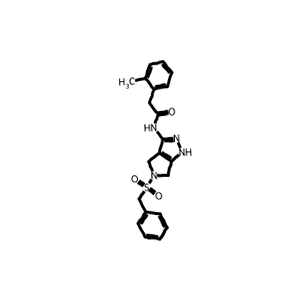 Cc1ccccc1CC(=O)Nc1n[nH]c2c1CN(S(=O)(=O)Cc1ccccc1)C2